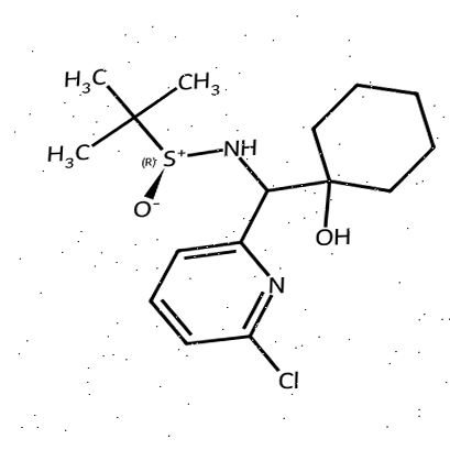 CC(C)(C)[S@+]([O-])NC(c1cccc(Cl)n1)C1(O)CCCCC1